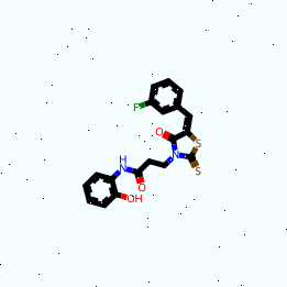 O=C(CCN1C(=O)/C(=C\c2cccc(F)c2)SC1=S)Nc1ccccc1O